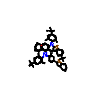 Cc1cc(C(C)(C)C)cc(C)c1N1c2cccc3c2B(c2cc(-c4cc5ccccc5s4)ccc2N3c2c(C)cc(C(C)(C)C)cc2-c2ccccc2)c2c1sc1ccc(C(C)(C)C)cc21